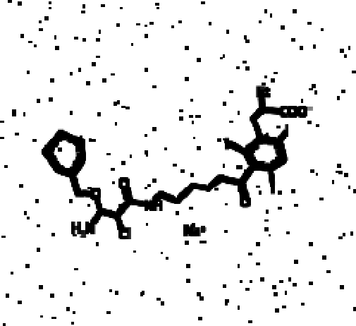 CCC(Cc1c(I)cc(I)c(C(=O)CCCCCNC(=O)C(Cl)C(N)OCc2ccccc2)c1I)C(=O)[O-].[Na+]